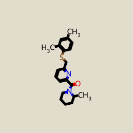 Cc1ccc(SCc2cccc(C(=O)N3CCCCC3C)n2)c(C)c1